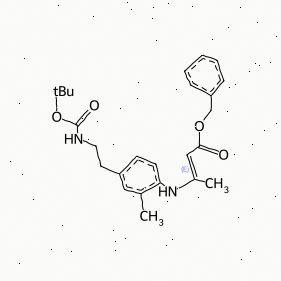 C/C(=C\C(=O)OCc1ccccc1)Nc1ccc(CCNC(=O)OC(C)(C)C)cc1C